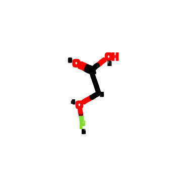 O=C(O)COF